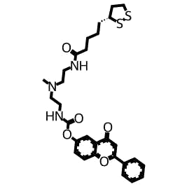 CN(CCNC(=O)CCCC[C@@H]1CCSS1)CCNC(=O)Oc1ccc2oc(-c3ccccc3)cc(=O)c2c1